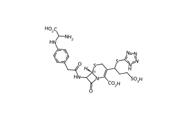 NC(Nc1ccc(CC(=O)NC2C(=O)N3C(C(=O)O)=C(C(CCS(=O)(=O)O)Sc4nnn[nH]4)CS[C@@H]23)cc1)C(=O)O